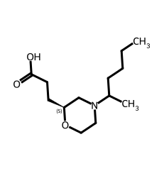 CCCCC(C)N1CCO[C@@H](CCC(=O)O)C1